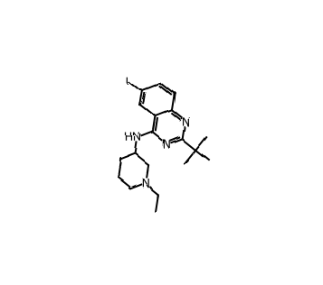 CCN1CCCC(Nc2nc(C(C)(C)C)nc3ccc(I)cc23)C1